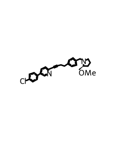 COC[C@@H]1CCCN1Cc1ccc(CCC#Cc2ccc(-c3ccc(Cl)cc3)cn2)cc1